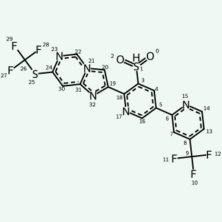 O=[SH](=O)c1cc(-c2cc(C(F)(F)F)ccn2)cnc1-c1cn2cnc(SC(F)(F)F)cc2n1